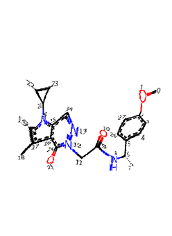 COc1ccc([C@H](C)NC(=O)Cn2ncc3c(c(C)cn3C3CC3)c2=O)cc1